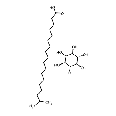 CC(C)CCCCCCCCCCCCCCCC(=O)O.O[C@H]1[C@H](O)[C@@H](O)[C@H](O)[C@@H](O)[C@H]1O